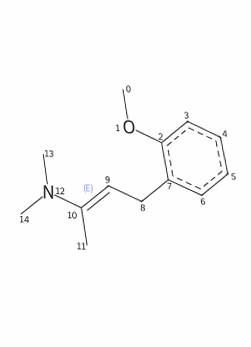 COc1ccccc1C/C=C(\C)N(C)C